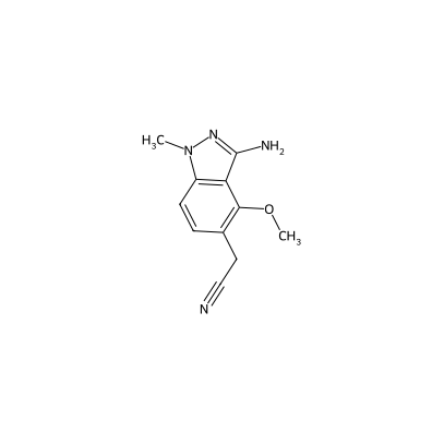 COc1c(CC#N)ccc2c1c(N)nn2C